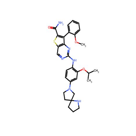 COc1ccccc1-c1c(C(N)=O)sc2cnc(Nc3ccc(N4CCC5(CCCN5)C4)cc3OC(C)C)nc12